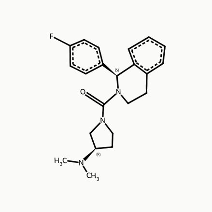 CN(C)[C@@H]1CCN(C(=O)N2CCc3ccccc3[C@@H]2c2ccc(F)cc2)C1